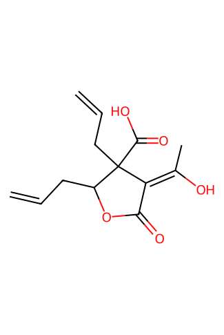 C=CCC1OC(=O)C(=C(C)O)C1(CC=C)C(=O)O